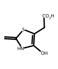 C=C1NC(O)=C(CC(=O)O)S1